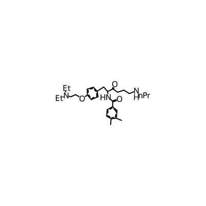 CCCNCCCC(=O)C(Cc1ccc(OCCN(CC)CC)cc1)NC(=O)c1ccc(C)c(C)c1